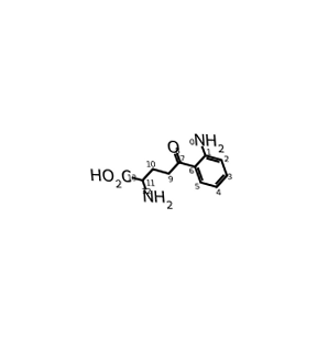 Nc1ccccc1C(=O)CCC(N)C(=O)O